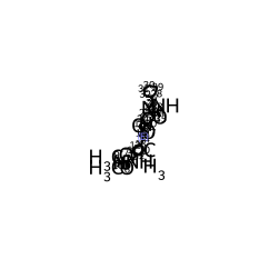 Cc1cc(NS(=O)(=O)N(C)C)ccc1/C=C/S(=O)(=O)N1CCC2(CC1)N=C(C1CCCCC1)NC2=O